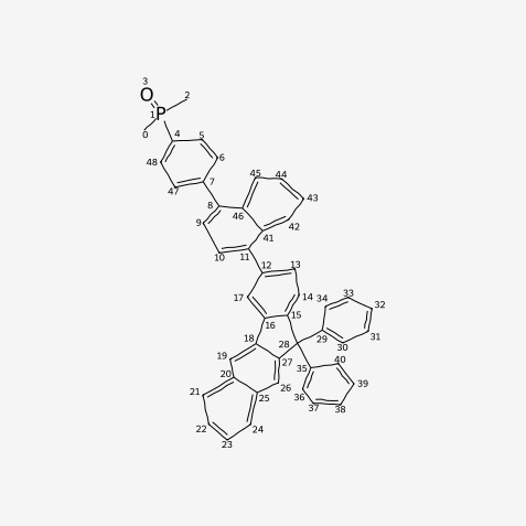 CP(C)(=O)c1ccc(-c2ccc(-c3ccc4c(c3)-c3cc5ccccc5cc3C4(c3ccccc3)c3ccccc3)c3ccccc23)cc1